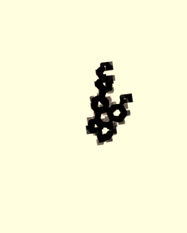 N#CCn1cc(-c2ccc(-c3cnn4ccnc([C@H]5CC[C@@H](C#N)CC5)c34)cc2)cn1